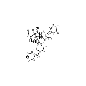 CC1(CNC(=O)[C@H](CNC(=O)C2(C(N)=O)CCCC2)c2ccccc2)CCN(CC2CCOCC2)CC1